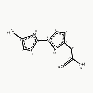 Cc1csc(-n2ccc(CC(=O)O)n2)n1